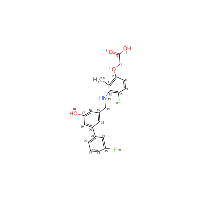 Cc1c(OCC(=O)O)ccc(F)c1NCc1cc(O)cc(-c2cccc(F)c2)c1